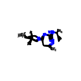 C[C@H](Nc1nc(N2C[C@@H]3C(CC(=O)O)[C@@H]3C2)cc(C(F)(F)F)n1)C1CC1